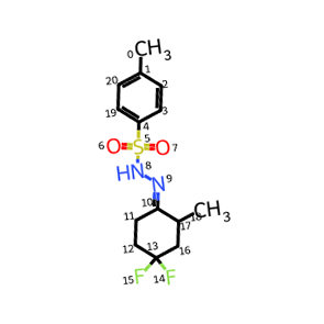 Cc1ccc(S(=O)(=O)NN=C2CCC(F)(F)CC2C)cc1